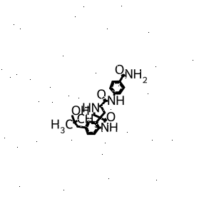 CC(C)(CO)Cc1ccc2c(c1)C1(CNC(C(=O)Nc3ccc(C(N)=O)cc3)C1)C(=O)N2